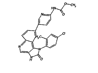 COC(=O)Nc1ccc(-c2ccc3ncc4[nH]c(=O)n(-c5ccc(Cl)cc5C)c4c3c2)cn1